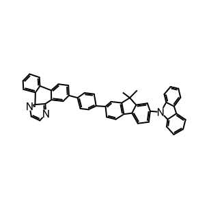 CC1(C)c2cc(-c3ccc(-c4ccc5c6ccccc6c6nccnc6c5c4)cc3)ccc2-c2ccc(-n3c4ccccc4c4ccccc43)cc21